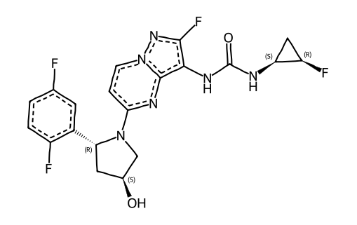 O=C(Nc1c(F)nn2ccc(N3C[C@@H](O)C[C@@H]3c3cc(F)ccc3F)nc12)N[C@H]1C[C@H]1F